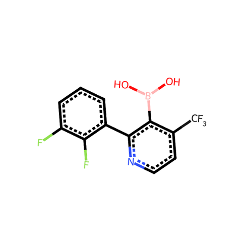 OB(O)c1c(C(F)(F)F)ccnc1-c1cccc(F)c1F